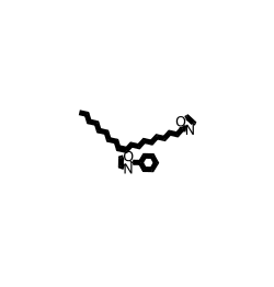 C1CCC(C2=NCCO2)CC1.CCCCCCCC/C=C\CCCCCCCCC1=NCCO1